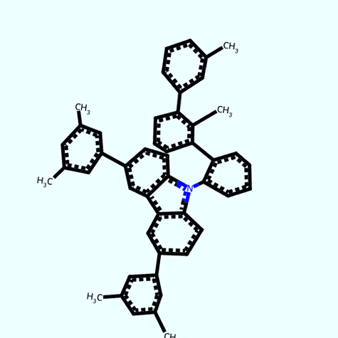 Cc1cc(C)cc(-c2ccc3c(c2)c2cc(-c4cc(C)cc(C)c4)ccc2n3-c2ccccc2-c2cccc(-c3cccc(C)c3)c2C)c1